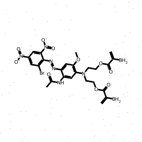 BC(=C)C(=O)OCCN(CCOC(=O)C(B)=C)c1cc(NC(C)=O)c(/N=N/c2c(Br)cc([N+](=O)[O-])cc2[N+](=O)[O-])cc1OC